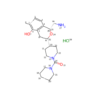 Cc1ccc2c(c1O)C[C@@H](C1CCN(C(=O)N3CCCCC3)CC1)O[C@H]2CN.Cl